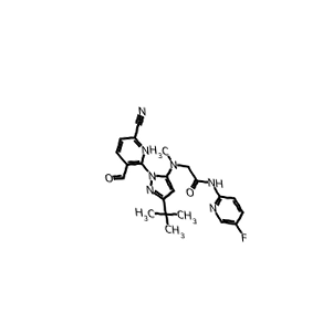 CN(CC(=O)Nc1ccc(F)cn1)c1cc(C(C)(C)C)nn1-c1nc(C#N)ccc1C=O